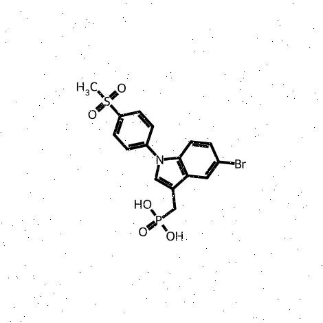 CS(=O)(=O)c1ccc(-n2cc(CP(=O)(O)O)c3cc(Br)ccc32)cc1